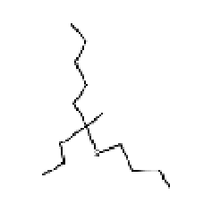 CCCCCC(C)(CCC)SCCCC